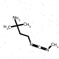 CN=C=NCCC(C)(C)N